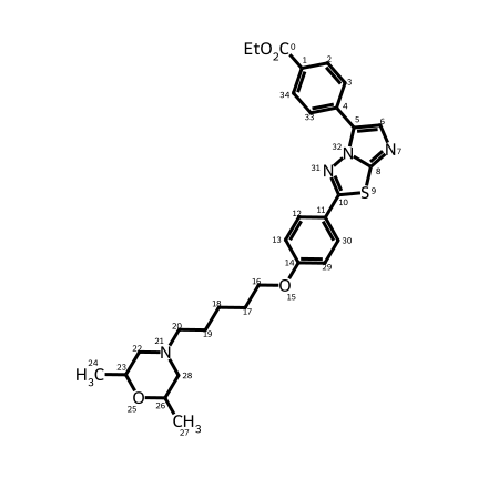 CCOC(=O)c1ccc(-c2cnc3sc(-c4ccc(OCCCCCN5CC(C)OC(C)C5)cc4)nn23)cc1